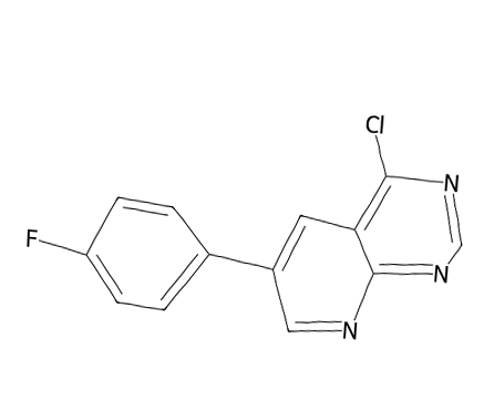 Fc1ccc(-c2cnc3ncnc(Cl)c3c2)cc1